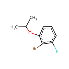 CC(C)Oc1cccc(F)c1Br